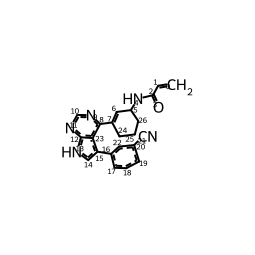 C=CC(=O)NC1C=C(c2ncnc3[nH]cc(-c4cccc(C#N)c4)c23)CCC1